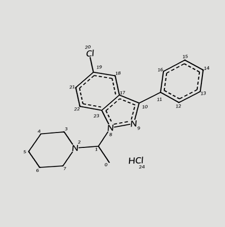 CC(N1CCCCC1)n1nc(-c2ccccc2)c2cc(Cl)ccc21.Cl